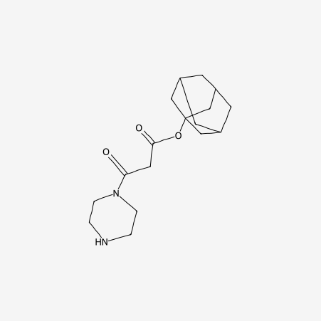 O=C(CC(=O)N1CCNCC1)OC12CC3CC(CC(C3)C1)C2